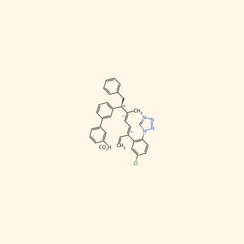 C=C/C(=C\C=C(/C)[C@H](Cc1ccccc1)c1cccc(-c2cccc(C(=O)O)c2)c1)c1cc(Cl)ccc1-n1cnnn1